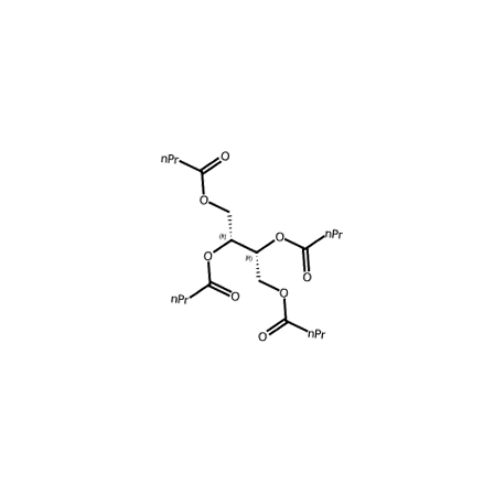 CCCC(=O)OC[C@@H](OC(=O)CCC)[C@@H](COC(=O)CCC)OC(=O)CCC